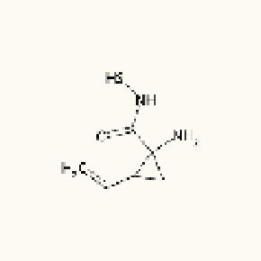 C=CC1CC1(N)C(=O)NS